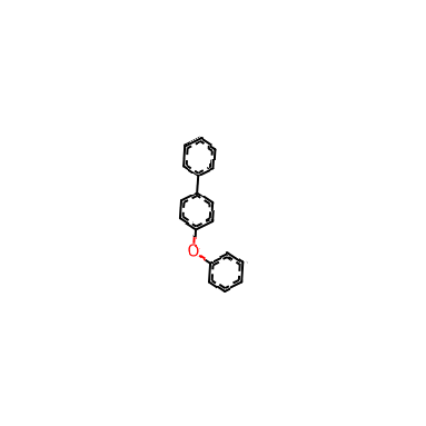 [c]1cccc(Oc2ccc(-c3ccccc3)cc2)c1